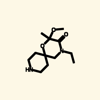 CCN1CC2(CCNCC2)OC(C)(OC)C1=O